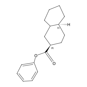 O=C(Oc1ccccc1)[C@@H]1CC[C@@H]2CCCCC2C1